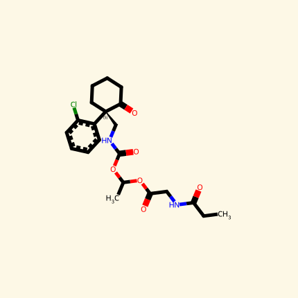 CCC(=O)NCC(=O)OC(C)OC(=O)NC[C@@]1(c2ccccc2Cl)CCCCC1=O